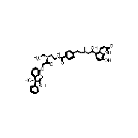 CCN(CCNC(=O)c1ccc(CCNC[C@H](O)c2ccc(O)c3[nH]c(=O)ccc23)cc1)C(=O)COc1cccc([C@](O)(C(=O)O)c2ccccc2)c1